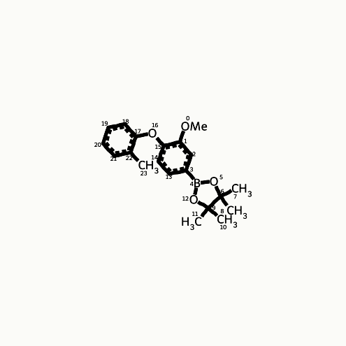 COc1cc(B2OC(C)(C)C(C)(C)O2)ccc1Oc1ccccc1C